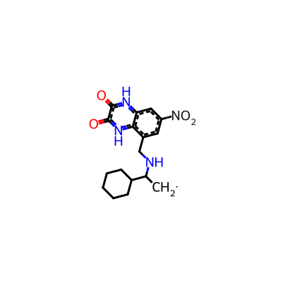 [CH2]C(NCc1cc([N+](=O)[O-])cc2[nH]c(=O)c(=O)[nH]c12)C1CCCCC1